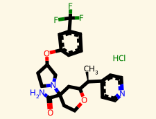 C[C@@H](c1ccncc1)C1CC(C(N)=O)(N2CCC(Oc3cccc(C(F)(F)F)c3)C2)CCO1.Cl